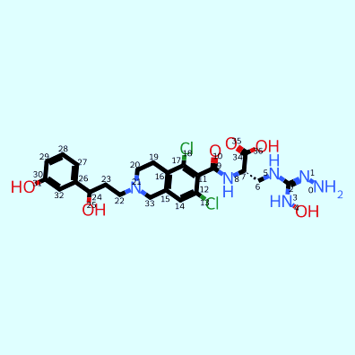 N/N=C(\NO)NC[C@H](NC(=O)c1c(Cl)cc2c(c1Cl)CCN(CCC(O)c1cccc(O)c1)C2)C(=O)O